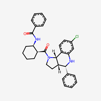 O=C(N[C@@H]1CCCC[C@@H]1C(=O)N1CC[C@H]2[C@@H](c3ccccc3)Nc3cc(Cl)ccc3[C@H]21)c1ccccc1